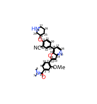 COc1cc(C(=O)N(C)C)ccc1-c1cc2nccc(-c3ccc(O[C@@H]4CCCNC4)c(C#N)c3)c2o1